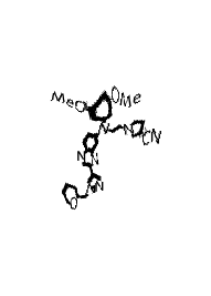 COc1cc(OC)cc(N(CCN2CC[C@H](C#N)C2)c2ccc3ncc(-c4cnn(CC5CCCCO5)c4)nc3c2)c1